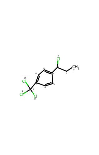 CC[C](Cl)c1ccc(C(Cl)(Cl)Cl)cc1